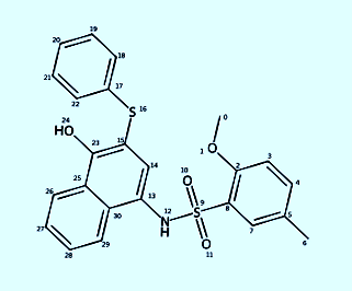 COc1ccc(C)cc1S(=O)(=O)Nc1cc(Sc2ccccc2)c(O)c2ccccc12